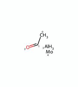 CC=O.[AlH3].[Mo]